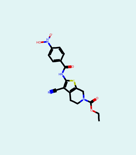 CCOC(=O)N1CCc2c(sc(NC(=O)c3ccc([NH+]([O-])O)cc3)c2C#N)C1